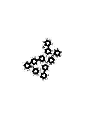 c1ccc(-c2ccc(N(c3cccc(-c4ccc5c6ccccc6n(-c6ccccc6)c5c4)c3)c3cccc(N(c4ccccc4)c4ccc5sc6ccccc6c5c4)c3)cc2)cc1